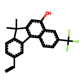 C=Cc1ccc2c(c1)-c1c(cc(O)c3cc(C(F)(F)F)ccc13)C2(C)C